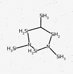 [SiH3]C1[SiH2]N([SiH3])[SiH2]N([SiH3])[SiH2]1